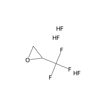 F.F.F.FC(F)(F)C1CO1